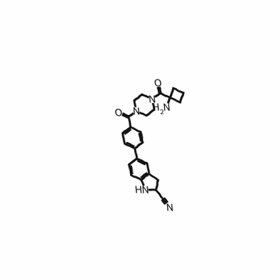 N#CC1Cc2cc(-c3ccc(C(=O)N4CCN(C(=O)C5(N)CCC5)CC4)cc3)ccc2N1